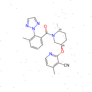 Cc1ccnc(O[C@@H]2CC[C@@H](C)N(C(=O)c3cccc(C)c3-n3nccn3)C2)c1C#N